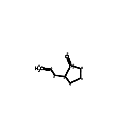 C=CCC1CCC[N+]1=O